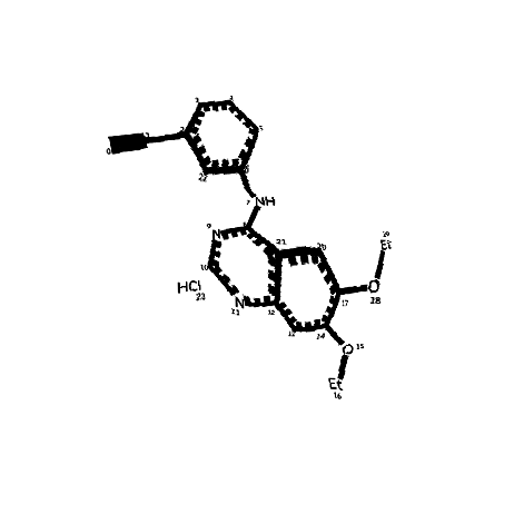 C#Cc1cccc(Nc2ncnc3cc(OCC)c(OCC)cc23)c1.Cl